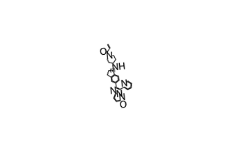 C=CC(=O)N1CCC(N[C@H]2CCc3cc(-c4nc5ccc(OC)nn5c4-c4ccccn4)ccc32)CC1